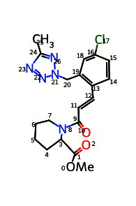 COC(=O)C1CCCCN1C(=O)C=Cc1ccc(Cl)cc1Cn1nnc(C)n1